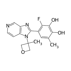 Cc1cc(-c2nc3cnccc3n2C2(C)COC2)c(F)c(O)c1O